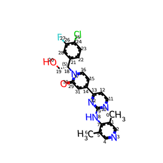 Cc1cncc(C)c1Nc1nccc(-c2ccn([C@H](CO)c3ccc(Cl)c(F)c3)c(=O)c2)n1